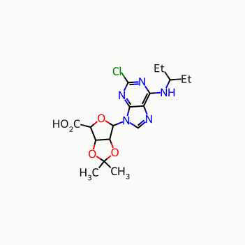 CCC(CC)Nc1nc(Cl)nc2c1ncn2C1OC(C(=O)O)C2OC(C)(C)OC21